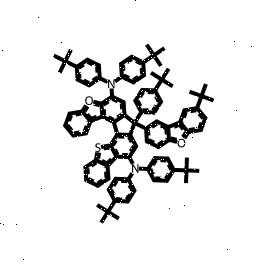 CC(C)(C)c1ccc(N(c2ccc(C(C)(C)C)cc2)c2cc3c(c4c2oc2ccccc24)-c2c(cc(N(c4ccc(C(C)(C)C)cc4)c4ccc(C(C)(C)C)cc4)c4c2sc2ccccc24)C3(c2ccc(C(C)(C)C)cc2)c2ccc3oc4ccc(C(C)(C)C)cc4c3c2)cc1